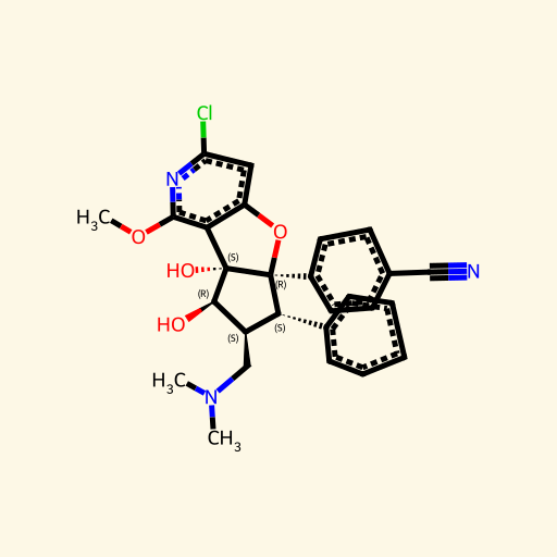 COc1nc(Cl)cc2c1[C@]1(O)[C@H](O)[C@H](CN(C)C)[C@@H](c3ccccc3)[C@]1(c1ccc(C#N)cc1)O2